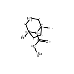 CC[C@@]12CC[C@@H](CNC1)N2C(=O)OC(C)(C)C